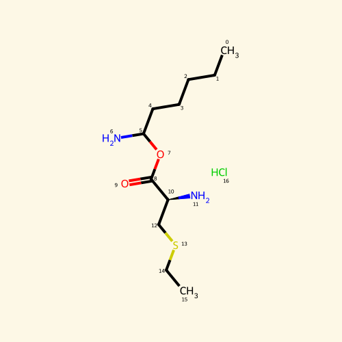 CCCCCC(N)OC(=O)[C@@H](N)CSCC.Cl